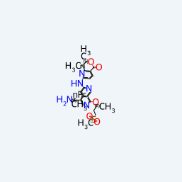 CCC[C@@](C)(N)c1cnc(O[C@H](C)CCS(C)(=O)=O)c2cnc(Nc3ccc4c(n3)[C@@H](C)[C@H](C)OC4=O)cc12